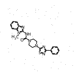 Cn1c(NC(=O)N2CCN(c3nc(-c4ccccc4)ns3)CC2)nc2ccccc21